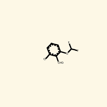 O=Cc1c(Cl)cccc1OC(F)F